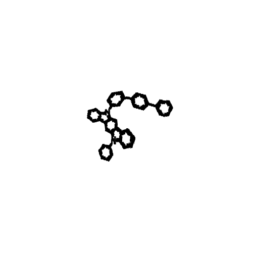 c1ccc(-c2ccc(-c3cccc(-n4c5ccccc5c5cc6c(cc54)c4ccccc4n6-c4ccccc4)c3)cc2)cc1